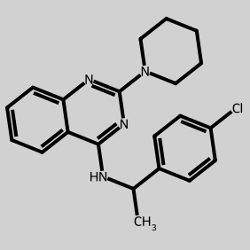 CC(Nc1nc(N2CCCCC2)nc2ccccc12)c1ccc(Cl)cc1